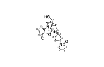 O=C1CCCCN1c1ccc(N2CCc3c(CO)nn(-c4cccc(Cl)c4)c3C2=O)cc1